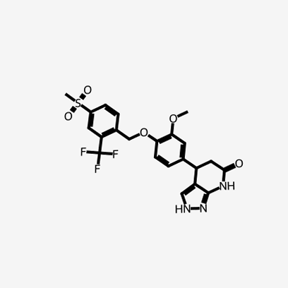 COc1cc(C2CC(=O)Nc3n[nH]cc32)ccc1OCc1ccc(S(C)(=O)=O)cc1C(F)(F)F